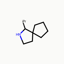 CC(C)C1NCCC12CCCC2